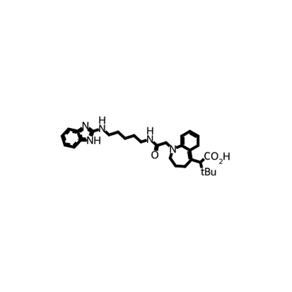 CC(C)(C)C(C(=O)O)C1=C2CC=CC=C2N(CC(=O)NCCCCCNc2nc3ccccc3[nH]2)CCC1